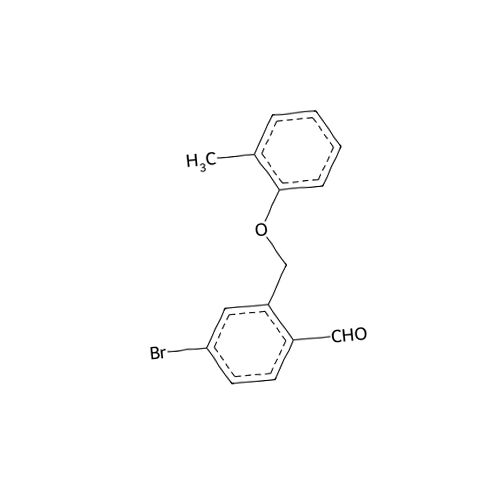 Cc1ccccc1OCc1cc(Br)ccc1C=O